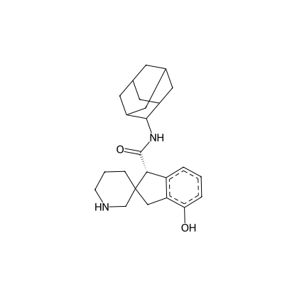 O=C(NC1C2CC3CC(C2)CC1C3)[C@@H]1c2cccc(O)c2CC12CCCNC2